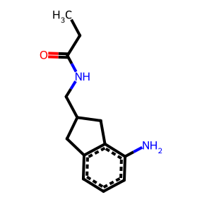 CCC(=O)NCC1Cc2cccc(N)c2C1